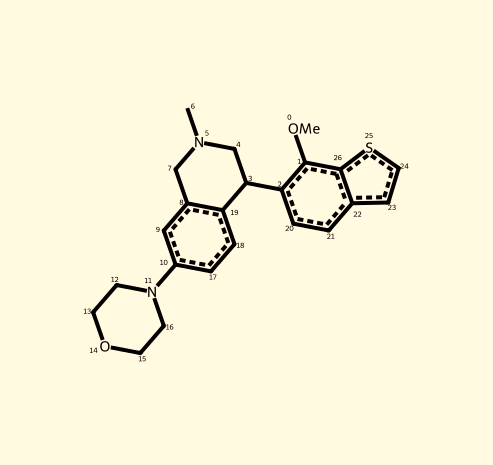 COc1c(C2CN(C)Cc3cc(N4CCOCC4)ccc32)ccc2ccsc12